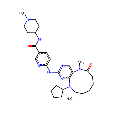 C[C@H]1CCCCC(=O)N(C)c2cnc(Nc3ccc(C(=O)NC4CCN(C)CC4)cn3)nc2N1C1CCCC1